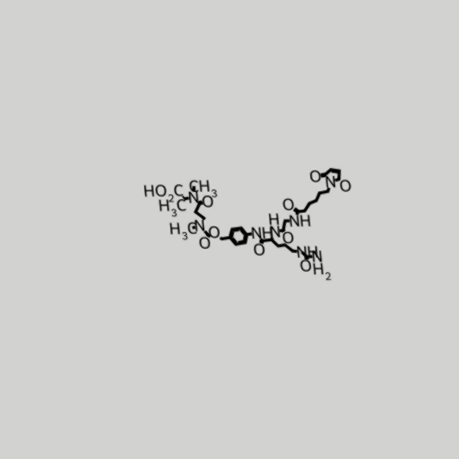 C[C@@H](C(=O)O)N(C)C(=O)CCN(C)C(=O)OCc1ccc(NC(=O)C(CCCNC(N)=O)NC(=O)CNC(=O)CCCCCN2C(=O)C=CC2=O)cc1